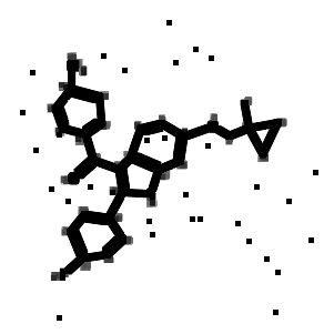 CC1(COc2ccc3c(C(=O)c4ccc(C(F)(F)F)cc4)c(-c4ccc(F)cc4)sc3c2)CC1